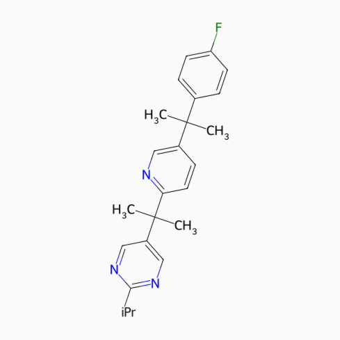 CC(C)c1ncc(C(C)(C)c2ccc(C(C)(C)c3ccc(F)cc3)cn2)cn1